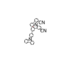 N#Cc1ccc(-n2c3ccccc3c3cccc(C#N)c32)c(-c2cccc(-c3ccc(-n4c5ccccc5c5ccccc54)cc3)c2)c1